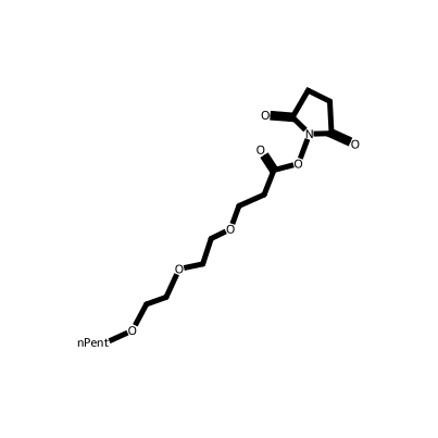 CCCCCOCCOCCOCCC(=O)ON1C(=O)CCC1=O